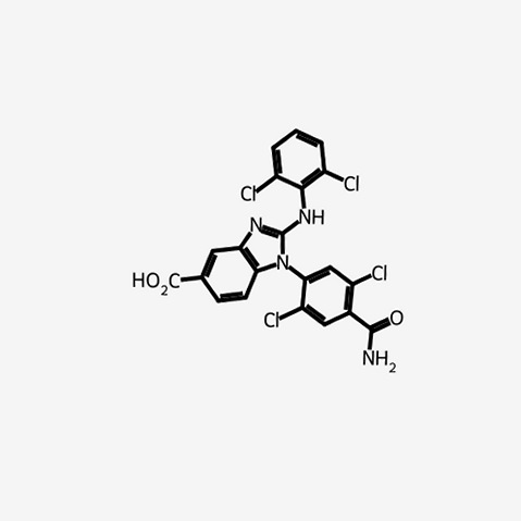 NC(=O)c1cc(Cl)c(-n2c(Nc3c(Cl)cccc3Cl)nc3cc(C(=O)O)ccc32)cc1Cl